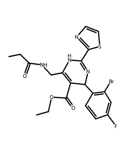 CCOC(=O)C1=C(CNC(=O)CC)NC(c2nccs2)=NC1c1ccc(F)cc1Br